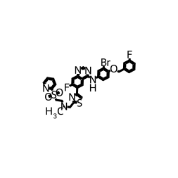 CN(CCS(=O)(=O)c1ccccn1)Cc1nc(-c2cc3c(Nc4ccc(OCc5cccc(F)c5)c(Br)c4)ncnc3cc2F)cs1